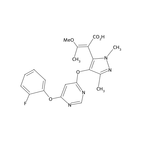 COC(C)=C(C(=O)O)c1c(Oc2cc(Oc3ccccc3F)ncn2)c(C)nn1C